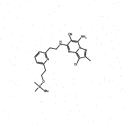 CCc1c(C)nn2c(N)c(C#N)c(NCCc3cccc(CCO[Si](C)(C)C(C)(C)C)n3)nc12